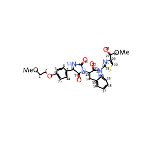 COCCOc1ccc(C2NC(=O)N(C(Cc3ccccc3)C(=O)Nc3nc(C(=O)OC)cs3)C2=O)cc1